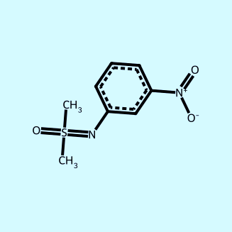 CS(C)(=O)=Nc1cccc([N+](=O)[O-])c1